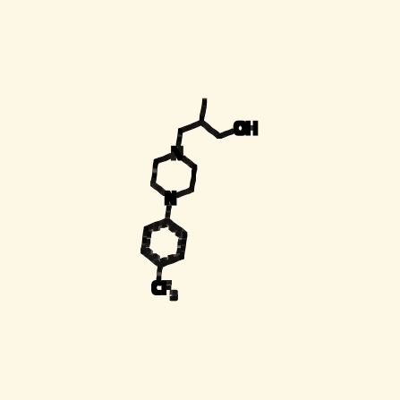 CC(CO)CN1CCN(c2ccc(C(F)(F)F)cc2)CC1